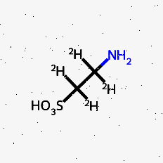 [2H]C([2H])(N)C([2H])([2H])S(=O)(=O)O